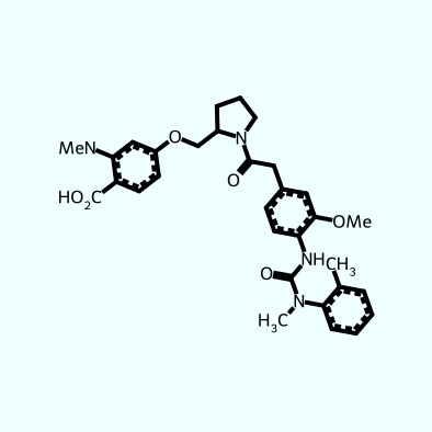 CNc1cc(OCC2CCCN2C(=O)Cc2ccc(NC(=O)N(C)c3ccccc3C)c(OC)c2)ccc1C(=O)O